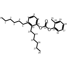 CCCCCCc1cccc(OC(=O)Oc2ccccc2C)c1CCCCCC